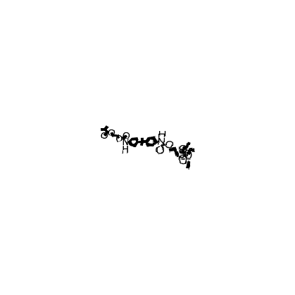 C=C(C)C(=O)OCCOC(=O)Nc1ccc(C(C)(C)c2ccc(NC(=O)OCCC[Si](OCC)(OCC)OCC)cc2)cc1